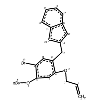 C=CCOc1cc(OCCCC)c(Br)cc1Cc1cc2ccccc2s1